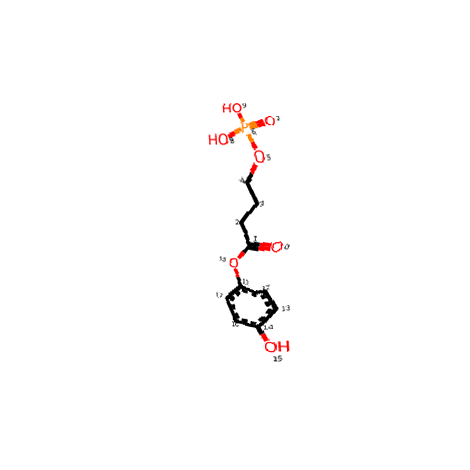 O=C(CCCOP(=O)(O)O)Oc1ccc(O)cc1